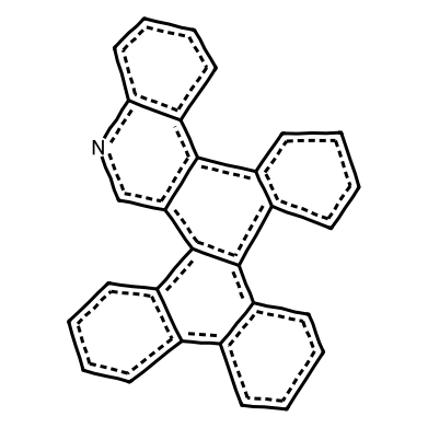 c1ccc2c(c1)ncc1c2c2ccccc2c2c3ccccc3c3ccccc3c12